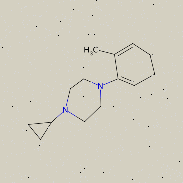 CC1=C[CH]CC=C1N1CCN(C2CC2)CC1